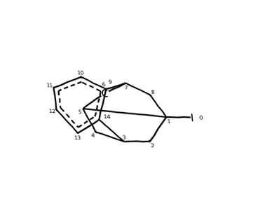 IC12CC3CC1CC(C2)c1ccccc13